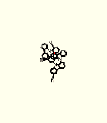 N#Cc1cc(-c2cccc(C#N)c2-n2c3ccccc3c3ccccc32)cc(-n2c3ccc(C#N)cc3c3cccc(-n4c5ccccc5c5ccccc54)c32)c1